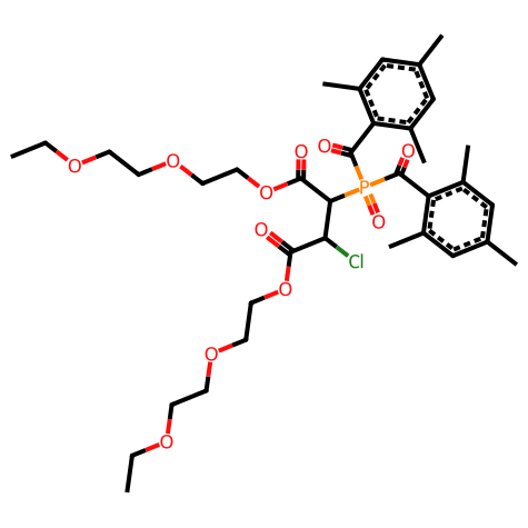 CCOCCOCCOC(=O)C(Cl)C(C(=O)OCCOCCOCC)P(=O)(C(=O)c1c(C)cc(C)cc1C)C(=O)c1c(C)cc(C)cc1C